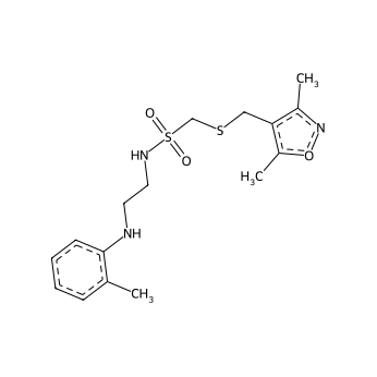 Cc1ccccc1NCCNS(=O)(=O)CSCc1c(C)noc1C